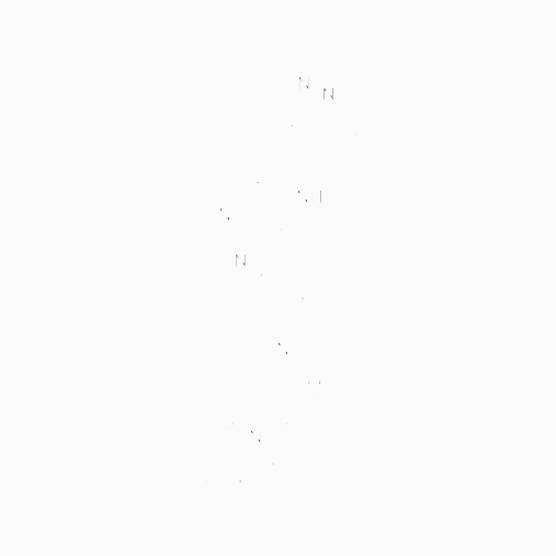 Cn1ncc2cc(Nc3ccnc4[nH]c(C5=CCN(C(=O)CCN6CCCCC6)CC5)cc34)ccc21